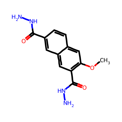 COc1cc2ccc(C(=O)NN)cc2cc1C(=O)NN